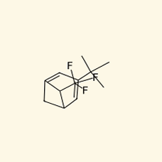 CC(C)(C)C1=CC2CC(=C1)C2C(F)(F)F